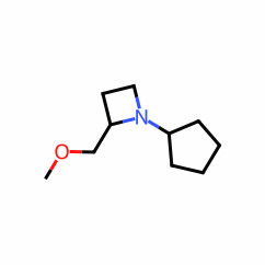 COCC1CCN1C1CCCC1